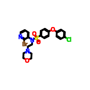 O=S(=O)(c1ccc(Oc2ccc(Cl)cc2)cc1)N(CCN1CCOCC1)c1cccnc1Br